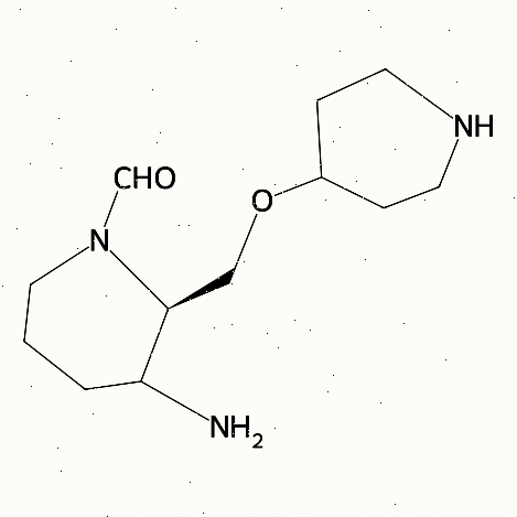 NC1CCCN(C=O)[C@H]1COC1CCNCC1